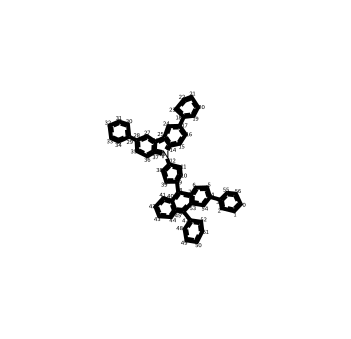 c1ccc(-c2ccc3c(-c4ccc(-n5c6ccc(-c7ccccc7)cc6c6cc(-c7ccccc7)ccc65)cc4)c4ccccc4c(-c4ccccc4)c3c2)cc1